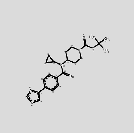 CC(C)(C)OC(=O)N1CCC(N(C(=O)c2ccc(-c3cncs3)cc2)C2CC2)CC1